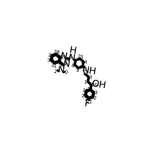 CN(C)c1nc(N[C@H]2CC[C@@H](NCCCC(O)c3ccc(F)cc3)CC2)nc2ccccc12